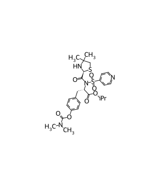 CC(C)OC(=O)[C@H](Cc1ccc(OC(=O)N(C)C)cc1)N(C(=O)[C@H]1NC(C)(C)CS1)S(=O)(=O)c1ccncc1